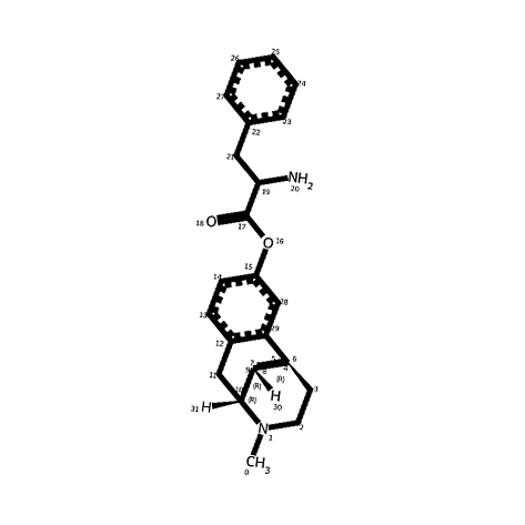 CN1CC[C@]23CCCC[C@H]2[C@H]1Cc1ccc(OC(=O)C(N)Cc2ccccc2)cc13